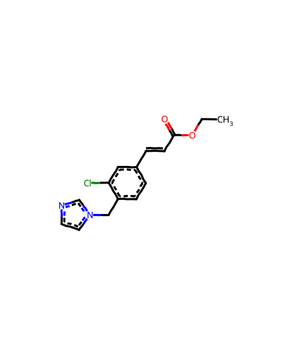 CCOC(=O)/C=C/c1ccc(Cn2ccnc2)c(Cl)c1